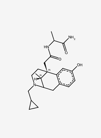 CC(NC(=O)C[C@@]12CCN(CC3CC3)C(Cc3ccc(O)cc31)[C@@H]2C)C(N)=O